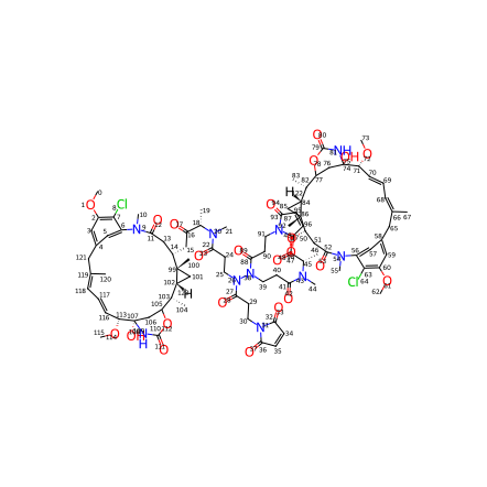 COc1cc2cc(c1Cl)N(C)C(=O)C[C@H](CC(=O)[C@H](C)N(C)C(=O)CCN(C(=O)CCN1C(=O)C=CC1=O)N(CCC(=O)N(C)[C@@H](C)C(=O)O[C@H]1CC(=O)N(C)c3cc(cc(OC)c3Cl)C/C(C)=C/C=C/[C@@H](OC)[C@@]3(O)CC(OC(=O)N3)[C@@H](C)[C@H]3C[C@@]13C)C(=O)CCN1C(=O)C=CC1=O)[C@]1(C)C[C@@H]1[C@H](C)C1C[C@@](O)(NC(=O)O1)[C@H](OC)/C=C/C=C(\C)C2